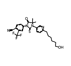 CC1(C)C(=O)N(c2ccc(C#N)c(C(F)(F)F)c2)C(=S)N1c1ccc(CCCCCCO)nc1